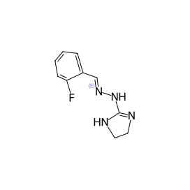 Fc1ccccc1/C=N/NC1=NCCN1